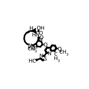 C#Cc1csc(-c2cc(O[C@H]3CC[C@H]4C(=O)N(C)CCCCC=C[C@@H]5C[C@@]5(C(=O)O)NC(=O)[C@@H]4C3)c3ccc(OC)c(C)c3n2)n1